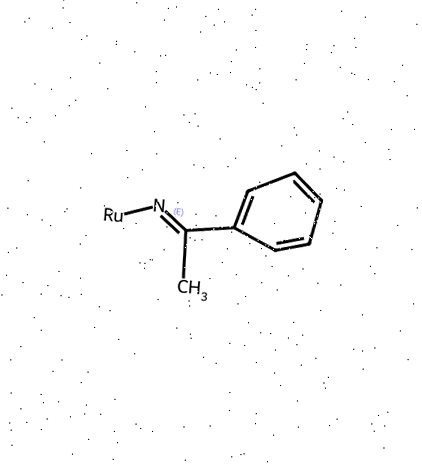 C/C(=[N]\[Ru])c1ccccc1